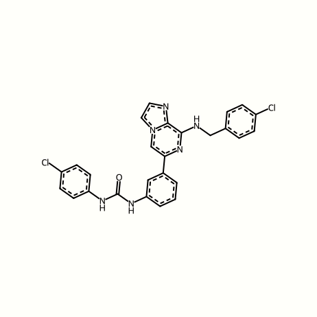 O=C(Nc1ccc(Cl)cc1)Nc1cccc(-c2cn3ccnc3c(NCc3ccc(Cl)cc3)n2)c1